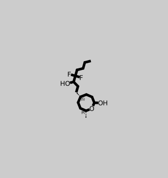 CCCCC(F)(F)C(O)CC[C@@H]1CCC(O)O[C@H](C)CC1